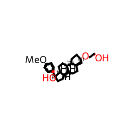 COc1ccc([C@]2(O)CC[C@H]3[C@@H]4CCC5=C[C@@H](OCCO)CC[C@]5(C)[C@H]4CC[C@@]32C)cc1